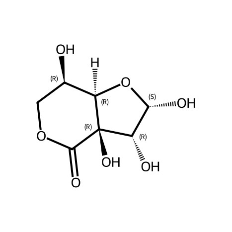 O=C1OC[C@@H](O)[C@H]2O[C@H](O)[C@H](O)[C@]12O